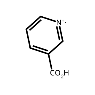 O=C(O)C1=CC=C[N+]=C1